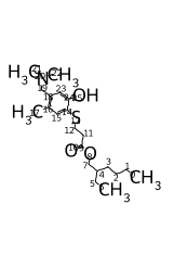 CCCCC(CC)COC(=O)CCSc1cc(C)c(CN(C)C)cc1O